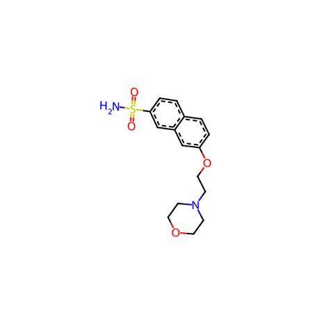 NS(=O)(=O)c1ccc2ccc(OCCN3CCOCC3)cc2c1